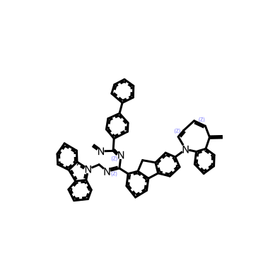 C=N/C(=N\C(=N/Cn1c2ccccc2c2ccccc21)c1cccc2c1Cc1cc(N3/C=C\C=C/C(=C)c4ccccc43)ccc1-2)c1ccc(-c2ccccc2)cc1